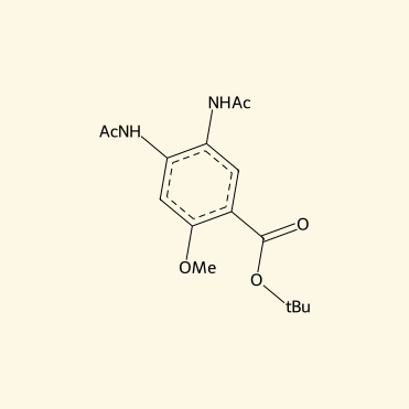 COc1cc(NC(C)=O)c(NC(C)=O)cc1C(=O)OC(C)(C)C